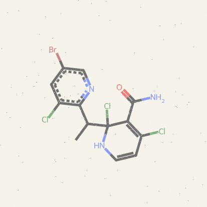 CC(c1ncc(Br)cc1Cl)C1(Cl)NC=CC(Cl)=C1C(N)=O